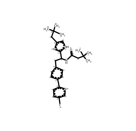 CC(C)(C)CC(=O)NC(Cc1ccc(-c2ccc(F)cn2)cc1)c1nc(CC(C)(C)C)c[nH]1